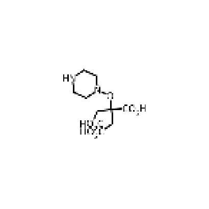 O=C(O)CC(CC(=O)O)(ON1CCNCC1)C(=O)O